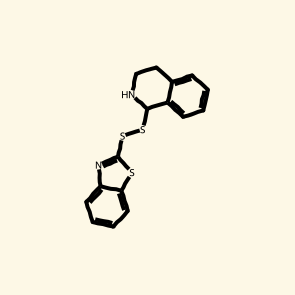 c1ccc2c(c1)CCNC2SSc1nc2ccccc2s1